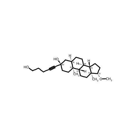 CO[C@H]1CC[C@H]2[C@@H]3CC[C@@H]4C[C@@](O)(C#CCCCO)CC[C@]4(C)[C@H]3CC[C@]12C